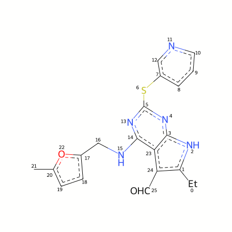 CCc1[nH]c2nc(Sc3cccnc3)nc(NCc3ccc(C)o3)c2c1C=O